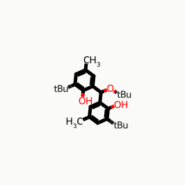 Cc1cc(C(OC(C)(C)C)c2cc(C)cc(C(C)(C)C)c2O)c(O)c(C(C)(C)C)c1